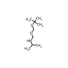 CC(C)NCOCOC(C)(C)C